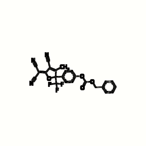 CC1=C(C#N)C(=C(C#N)C#N)OC1(c1ccc(OC(=O)OCc2ccccc2)cc1)C(F)(F)F